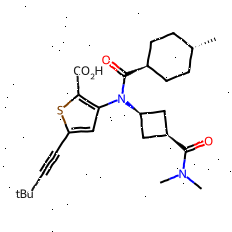 CN(C)C(=O)[C@H]1C[C@@H](N(c2cc(C#CC(C)(C)C)sc2C(=O)O)C(=O)[C@H]2CC[C@H](C)CC2)C1